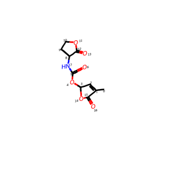 CC1=CC(OC(=O)NC2CCOC2=O)OC1=O